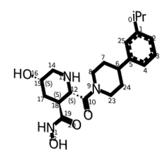 CC(C)c1cccc(C2CCN(C(=O)[C@H]3NC[C@@H](O)C[C@@H]3C(=O)NO)CC2)c1